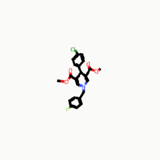 COC(=O)C1=CN(Cc2ccc(F)cc2)C=C(C(=O)OC)C1c1ccc(Cl)cc1